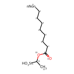 CCCCCCCCCCCCCCCCC(=O)OC(C)S(=O)(=O)O